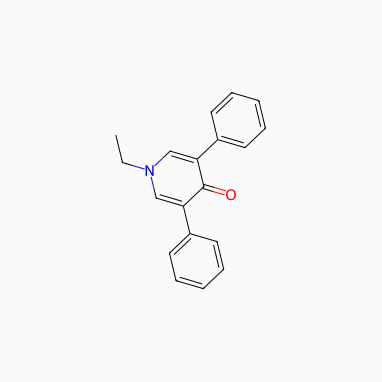 CCn1cc(-c2ccccc2)c(=O)c(-c2ccccc2)c1